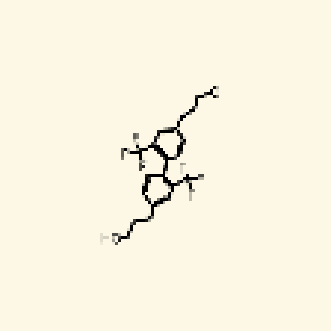 OCCCc1ccc(-c2ccc(CCCO)cc2C(F)(F)F)c(C(F)(F)F)c1